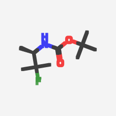 C[C@@H](NC(=O)OC(C)(C)C)C(C)(C)F